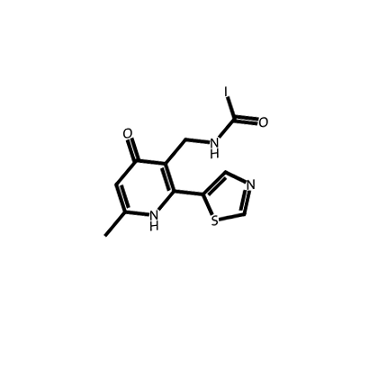 Cc1cc(=O)c(CNC(=O)I)c(-c2cncs2)[nH]1